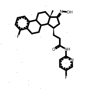 C[C@]12CCC3c4cccc(F)c4CCC3C1[C@H](CCC(=O)Nc1ccc(F)cn1)C/C2=N\O